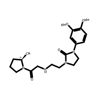 COc1ccc(N2CCN(CCNCC(=O)N3CCC[C@H]3C#N)C2=O)cc1OC